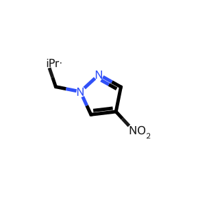 C[C](C)Cn1cc([N+](=O)[O-])cn1